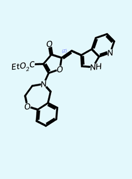 CCOC(=O)C1=C(N2CCOc3ccccc3C2)O/C(=C\c2c[nH]c3ncccc23)C1=O